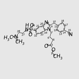 CCOC(=O)CCCn1c(Cc2ccc(C#N)cc2)nc2cc(S(=O)(=O)NCCN(C)C)ccc21